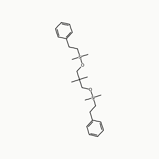 CC(C)(CO[Si](C)(C)CCc1ccccc1)CO[Si](C)(C)CCc1ccccc1